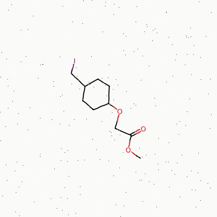 COC(=O)COC1CCC(CI)CC1